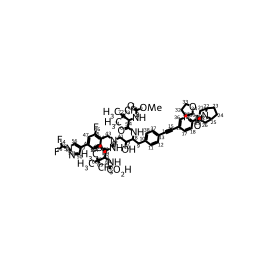 COC(=O)NC(C(=O)NC(Cc1ccc(C#Cc2ccc(N3CC4CCC(C3)N4C(=O)[C@@H]3CCCO3)nc2)cc1)C(O)CN(Cc1c(F)cc(-c2cnn(C(F)F)c2)cc1F)NC(=O)C(NC(=O)O)C(C)(C)C(F)(F)F)C(C)(C)C(F)(F)F